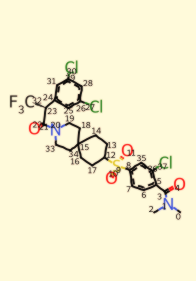 CN(C)C(=O)c1ccc(S(=O)(=O)C2CCC3(CC2)CCN(C(=O)[C@H](c2cc(Cl)cc(Cl)c2)C(F)(F)F)CC3)cc1Cl